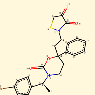 C[C@@H](c1ccc(Br)cc1)N1CCC(CCN2SCC(=O)C2=O)(c2ccccc2)OC1=O